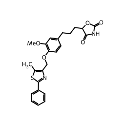 COc1cc(CCCC2OC(=O)NC2=O)ccc1OCc1nc(-c2ccccc2)sc1C